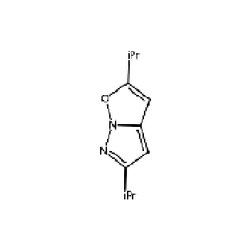 CC(C)c1cc2cc(C(C)C)on2n1